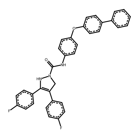 O=C(Nc1ccc(Oc2ccc(-c3ccccc3)cc2)cc1)N1CC(c2ccc(F)cc2)=C(c2ccc(F)cc2)N1